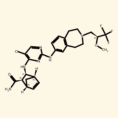 CO[C@@H](CN1CCc2ccc(Nc3ncc(Cl)c(N[C@@H]4[C@H](C(N)=O)[C@H]5C=C[C@@H]4C5)n3)cc2CC1)C(F)(F)F